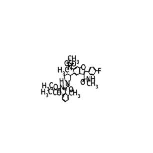 CNC(=O)c1c(-c2ccc(F)cc2)oc2cc(N(C)S(C)(=O)=O)c(C3CCCN(C(=O)[C@H](NC(=O)OC(C)(C)C)c4ccccc4C)C3)cc12